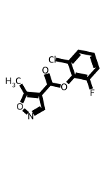 Cc1oncc1C(=O)Oc1c(F)cccc1Cl